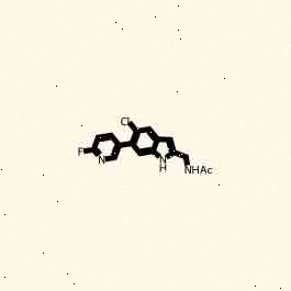 CC(=O)NCc1cc2cc(Cl)c(-c3ccc(F)nc3)cc2[nH]1